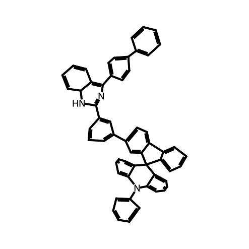 C1=CC2=C(c3ccc(-c4ccccc4)cc3)N=C(c3cccc(-c4ccc5c(c4)C4(c6ccccc6-5)c5ccccc5N(c5ccccc5)c5ccccc54)c3)NC2C=C1